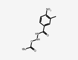 Cc1cc(C(=O)NNOC(=O)C(C)(C)C)ccc1[N+](=O)[O-]